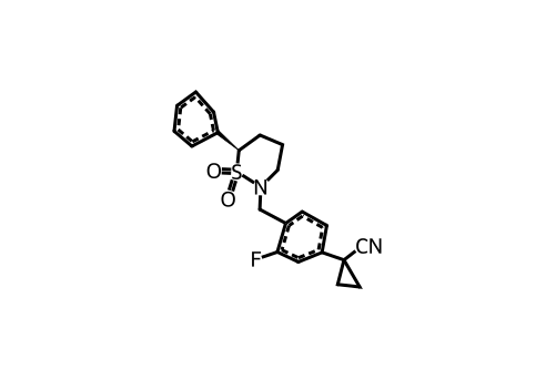 N#CC1(c2ccc(CN3CCC[C@H](c4ccccc4)S3(=O)=O)c(F)c2)CC1